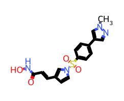 Cn1cc(-c2ccc(S(=O)(=O)n3ccc(C=CC(=O)NO)c3)cc2)cn1